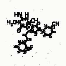 CN1C(=N)N[C@](C)(c2cc(-c3cccc(C#N)c3)cs2)C(CCCc2ccccc2F)C1=O